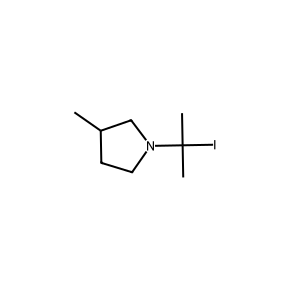 CC1CCN(C(C)(C)I)C1